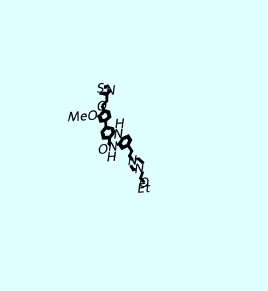 CCOCCN1CCN(CCc2ccc3c(c2)NC(=O)c2ccc(-c4ccc(OCc5cscn5)c(OC)c4)cc2N3)CC1